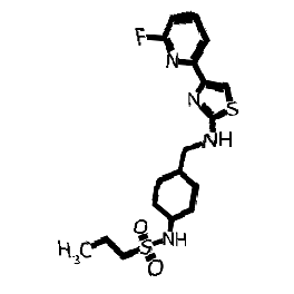 CCCS(=O)(=O)NC1CCC(CNc2nc(-c3cccc(F)n3)cs2)CC1